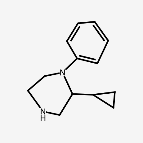 c1ccc(N2CCNCC2C2CC2)cc1